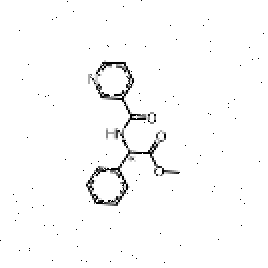 COC(=O)[C@H](NC(=O)c1cccnc1)c1ccccc1